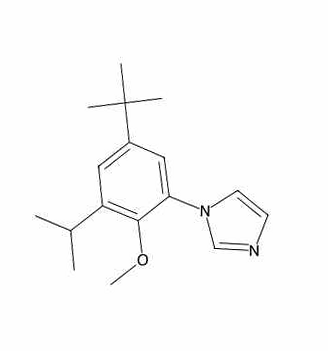 COc1c(C(C)C)cc(C(C)(C)C)cc1-n1ccnc1